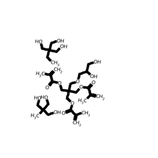 C=C(C)C(=O)OCC(COCC(O)CO)(COC(=O)C(=C)C)COC(=O)C(=C)C.CC(CO)(CO)CO.CCC(CO)(CO)CO